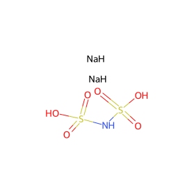 O=S(=O)(O)NS(=O)(=O)O.[NaH].[NaH]